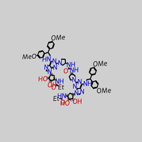 CCC(=O)N[C@H]1C[C@@H](n2cnc3c(NCC(c4ccc(OC)cc4)c4ccc(OC)cc4)nc(N4CCC(NC(=O)N[C@@H]5CCN(c6nc(NCC(c7ccc(OC)cc7)c7ccc(OC)cc7)c7ncn([C@@H]8C[C@H](NC(=O)CC)[C@@H](O)[C@H]8O)c7n6)C5)C4)nc32)[C@H](O)[C@@H]1O